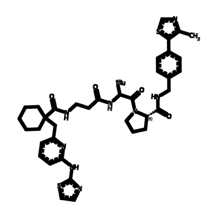 Cc1ncsc1-c1ccc(CNC(=O)[C@@H]2CCCN2C(=O)C(NC(=O)CCNC(=O)C2(Cc3cccc(Nc4nccs4)n3)CCCCC2)C(C)(C)C)cc1